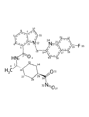 CC(NC(=O)c1cccc2ccn(Cc3ccc4cc(F)ccc4n3)c12)[C@H]1CC[C@H](C(=O)N=O)CC1